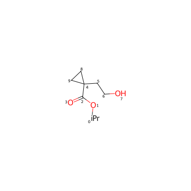 CC(C)OC(=O)C1(CCO)CC1